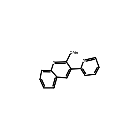 COc1nc2ccccc2cc1-c1ccccn1